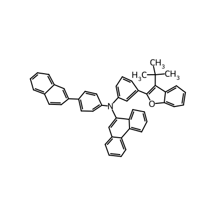 CC(C)(C)c1c(-c2cccc(N(c3ccc(-c4ccc5ccccc5c4)cc3)c3cc4ccccc4c4ccccc34)c2)oc2ccccc12